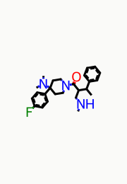 CNCC(C(=O)N1CCC(c2ccc(F)cc2)(N(C)C)CC1)C(C)c1ccccc1